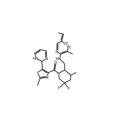 C\C=C(/C=N\C(NCC1C(C)CC(F)(F)CN1C(=O)c1nc(C)sc1C1N=CC=CN1)=C(\C)CC)C(F)(F)F